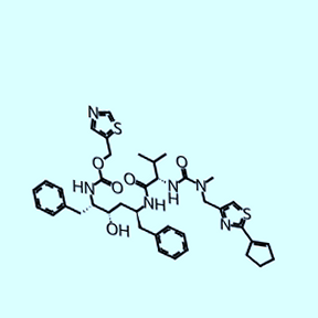 CC(C)[C@H](NC(=O)N(C)Cc1csc(C2=CCCC2)n1)C(=O)N[C@@H](Cc1ccccc1)C[C@H](O)[C@H](Cc1ccccc1)NC(=O)OCc1cncs1